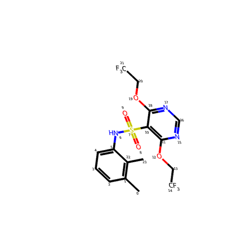 Cc1cccc(NS(=O)(=O)c2c(OCC(F)(F)F)ncnc2OCC(F)(F)F)c1C